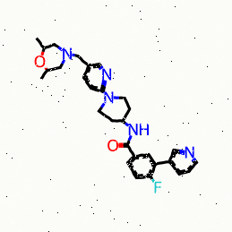 CC1CN(Cc2ccc(N3CCC(NC(=O)c4ccc(F)c(-c5cccnc5)c4)CC3)nc2)CC(C)O1